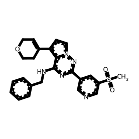 CS(=O)(=O)c1cncc(-c2nc(NCc3ccccc3)c3c(C4=CCOCC4)ccn3n2)c1